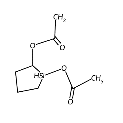 CC(=O)OC1CCC[SiH]1OC(C)=O